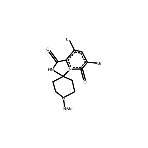 CNN1CCC2(CC1)NC(=O)c1c(Cl)cc(Br)c(=O)n12